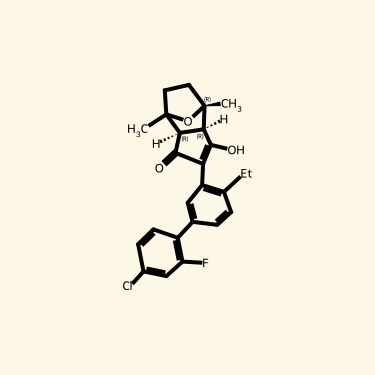 CCc1ccc(-c2ccc(Cl)cc2F)cc1C1=C(O)[C@H]2[C@@H](C1=O)C1(C)CC[C@@]2(C)O1